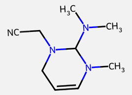 CN(C)C1N(C)C=CCN1CC#N